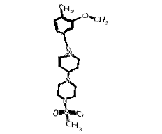 COc1cc(N2CCC(N3CCN(S(C)(=O)=O)CC3)CC2)ccc1C